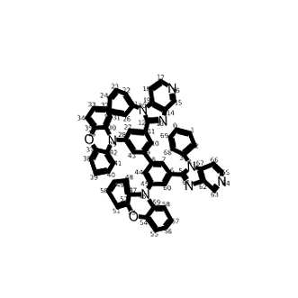 c1ccc(-n2c(-c3cc(-c4cc(-c5nc6cnccc6n5-c5ccccc5)cc(N5c6ccccc6Oc6ccccc65)c4)cc(N4c5ccccc5Oc5ccccc54)c3)nc3cnccc32)cc1